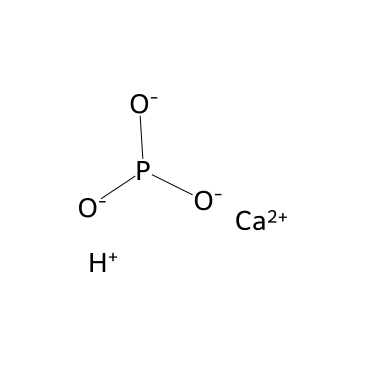 [Ca+2].[H+].[O-]P([O-])[O-]